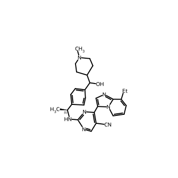 CCc1cccn2c(-c3nc(N[C@@H](C)c4ccc(C(O)C5CCN(C)CC5)cc4)ncc3C#N)cnc12